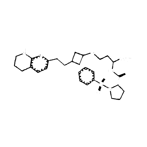 O=C(O)C(CCOC1CC(CCc2ccc3c(n2)NCCC3)C1)NC(=O)[C@@H]1CCCN1S(=O)(=O)c1ccccc1